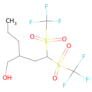 CCCC(CO)CC(S(=O)(=O)C(F)(F)F)S(=O)(=O)C(F)(F)F